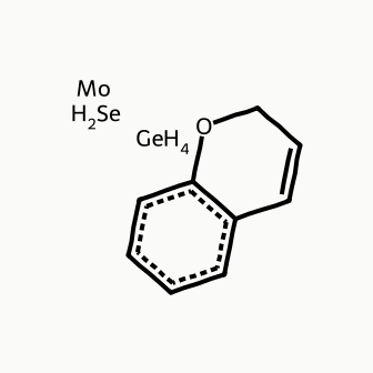 C1=Cc2ccccc2OC1.[GeH4].[Mo].[SeH2]